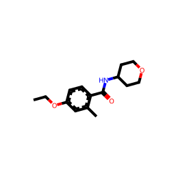 CCOc1ccc(C(=O)NC2CCOCC2)c(C)c1